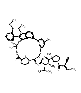 C/C=C(\C#N)C(=O)N1CC[C@](O)(C(=O)N(C)[C@H](C(=O)N[C@H]2Cc3cc(O)cc(c3)-c3ccc4c(c3)c(c(-c3cccnc3COC)n4CC)CC(C)(C)COC(=O)[C@@]3(O)CCCN(N3)C2=O)C(C)C)C1